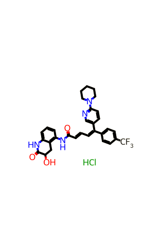 Cl.O=C(C=CC=C(c1ccc(C(F)(F)F)cc1)c1ccc(N2CCCCC2)nc1)Nc1cccc2c1CC(O)C(=O)N2